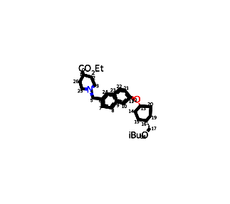 CCOC(=O)C1CCN(Cc2ccc3cc(O[C@H]4CC[C@@H](COCC(C)C)CC4)ccc3c2)CC1